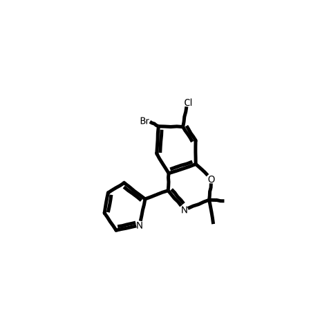 CC1(C)N=C(c2ccccn2)c2cc(Br)c(Cl)cc2O1